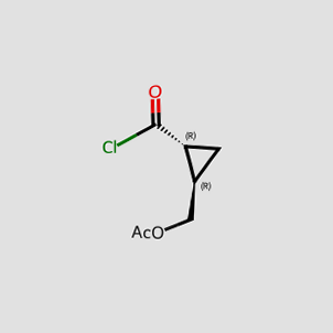 CC(=O)OC[C@@H]1C[C@H]1C(=O)Cl